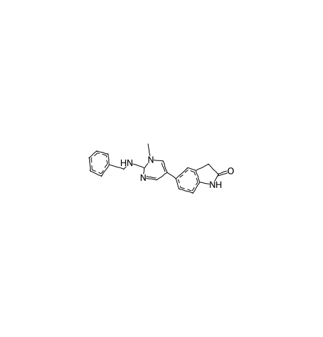 CN1C=C(c2ccc3c(c2)CC(=O)N3)C=NC1NCc1ccccc1